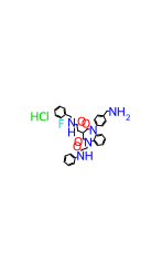 Cl.NCc1ccc(N2C(=O)C(CC(=O)NCc3ccccc3F)C(=O)N(CC(=O)Nc3ccccc3)c3ccccc32)cc1